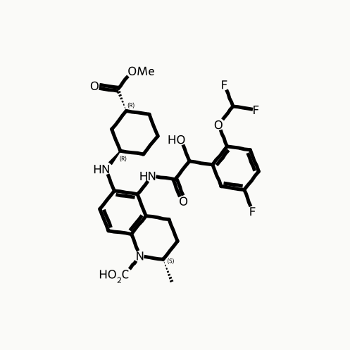 COC(=O)[C@@H]1CCC[C@@H](Nc2ccc3c(c2NC(=O)C(O)c2cc(F)ccc2OC(F)F)CC[C@H](C)N3C(=O)O)C1